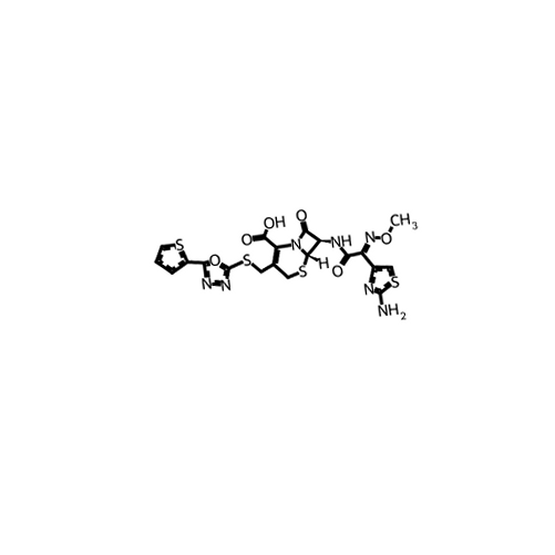 CON=C(C(=O)N[C@@H]1C(=O)N2C(C(=O)O)=C(CSc3nnc(-c4cccs4)o3)CS[C@@H]12)c1csc(N)n1